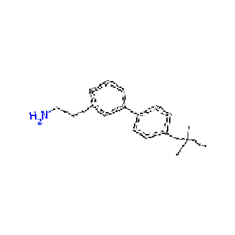 CC(C)(C)c1ccc(-c2cccc(CCN)c2)cc1